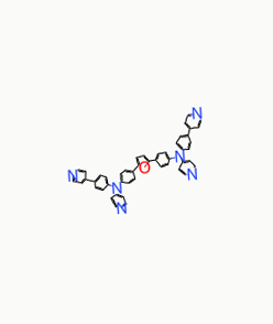 c1cc(-c2ccc(N(c3ccncc3)c3ccc(-c4ccc(-c5ccc(N(c6ccncc6)c6ccc(-c7ccncc7)cc6)cc5)o4)cc3)cc2)ccn1